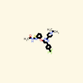 CC(=O)Nc1nc2c(Oc3cc(-c4ccc(C(F)(F)F)cc4)nc(C4=CCN(C(C)C)CC4)n3)cccc2s1